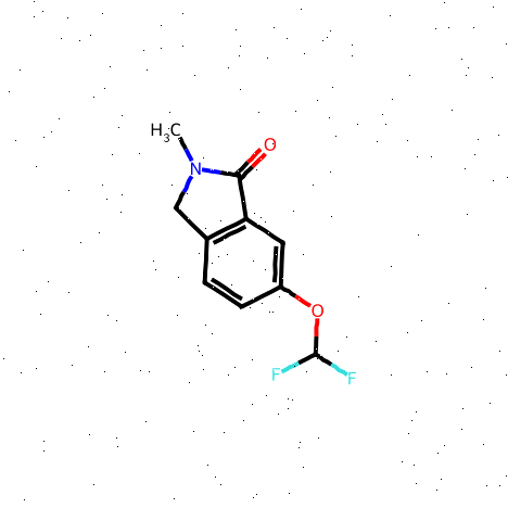 CN1Cc2ccc(OC(F)F)cc2C1=O